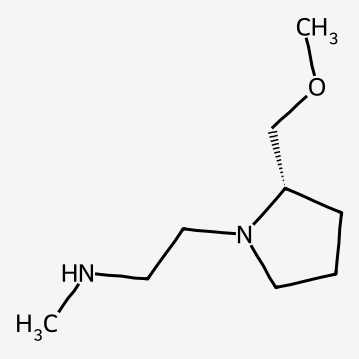 CNCCN1CCC[C@H]1COC